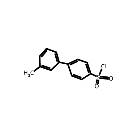 Cc1cccc(-c2ccc(S(=O)(=O)Cl)cc2)c1